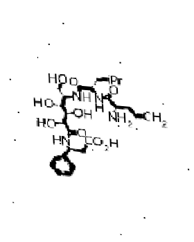 C=CC[C@H](N)C(=O)N[C@@H](CC(C)C)C(=O)N[C@@H](CO)[C@@H](O)[C@@H](O)[C@H](O)C(=O)N[C@@H](CC(=O)O)c1ccccc1